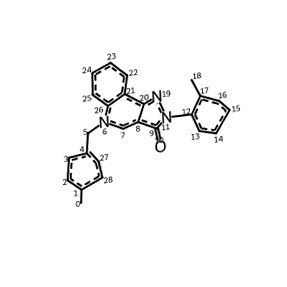 Cc1ccc(Cn2cc3c(=O)n(-c4ccccc4C)nc-3c3ccccc32)cc1